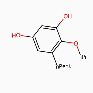 CCCCCc1cc(O)cc(O)c1OC(C)C